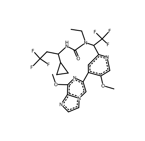 CCN(C(=O)NC(CC(F)(F)F)C1CC1)C(c1cc(-c2cn3ccnc3c(OC)n2)c(OC)cn1)C(F)(F)F